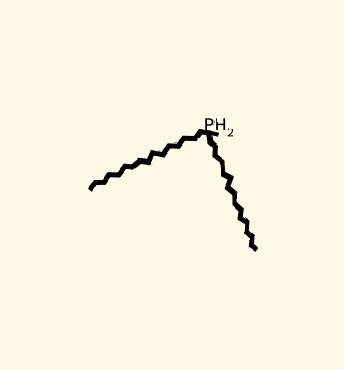 CCCCCCCCCCCCCCCCC(C)(P)CCCCCCCCCCCCCCCC